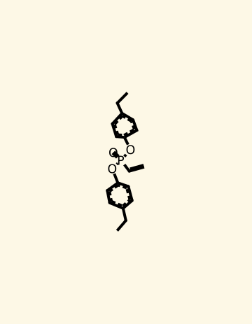 C=CP(=O)(Oc1ccc(CC)cc1)Oc1ccc(CC)cc1